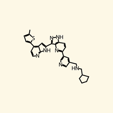 Cc1ccc(-c2ccnc3[nH]c(-c4n[nH]c5ccc(-c6cncc(CNCC7CCCC7)c6)nc45)cc23)s1